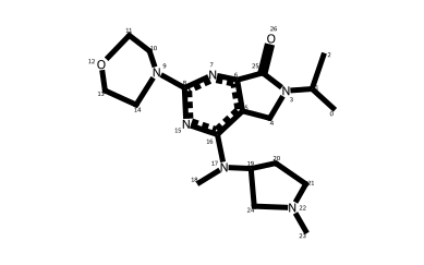 CC(C)N1Cc2c(nc(N3CCOCC3)nc2N(C)C2CCN(C)C2)C1=O